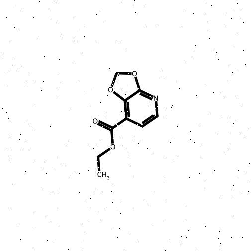 CCOC(=O)c1ccnc2c1OCO2